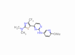 COc1ccc(Nc2nccc(-c3sc(N(C)C)nc3C(F)(F)F)n2)cn1